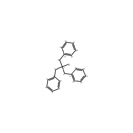 [CH]C(Cc1ccccc1)(Cc1ccccc1)Cc1ccccc1